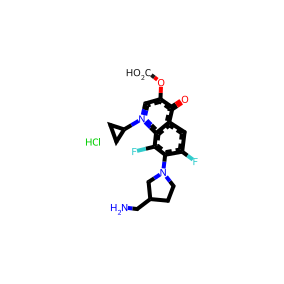 Cl.NCC1CCN(c2c(F)cc3c(=O)c(OC(=O)O)cn(C4CC4)c3c2F)C1